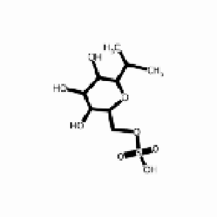 CC(C)C1OC(COS(=O)(=O)O)C(O)C(O)C1O